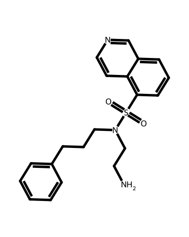 NCCN(CCCc1ccccc1)S(=O)(=O)c1cccc2cnccc12